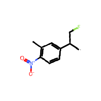 [CH2]C(CF)c1ccc([N+](=O)[O-])c(C)c1